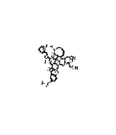 C=CC(=O)N1CCN(C2(C3CCCCCCC3)NC(OCC3CCCN3C)NC3C(=O)[C@]4(CCC32)Cc2cc(C)ccc2O4)CC1CC#N